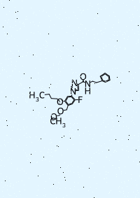 CCCCOc1cc(-n2cnc(C(=O)NCCc3ccccc3)c2)c(F)cc1COCOC